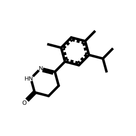 Cc1cc(C)c(C(C)C)cc1C1=NNC(=O)CC1